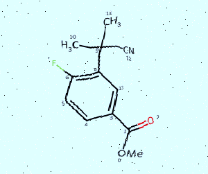 COC(=O)c1ccc(F)c(C(C)(C)C#N)c1